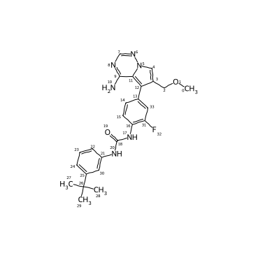 COCc1cn2ncnc(N)c2c1-c1ccc(NC(=O)Nc2cccc(C(C)(C)C)c2)c(F)c1